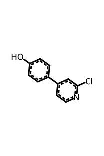 Oc1ccc(-c2ccnc(Cl)c2)cc1